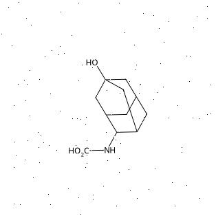 O=C(O)NC1C2CC3CC1CC(O)(C3)C2